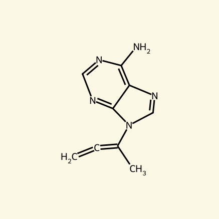 C=C=C(C)n1cnc2c(N)ncnc21